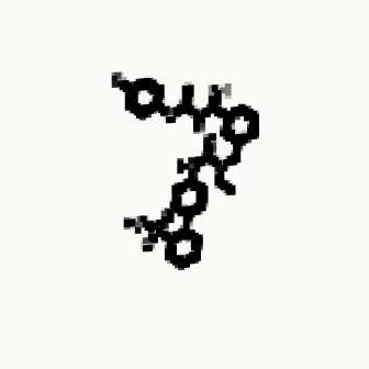 CCN(Cc1cccc(C(=N)NC(=O)Oc2ccc(F)cc2)c1)C(=O)Nc1ccc(-c2ccccc2S(N)(=O)=O)cc1